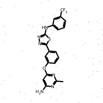 Cc1nc(N)cc(Oc2cccc(-c3nnc(Nc4cccc(C(F)(F)F)c4)s3)c2)n1